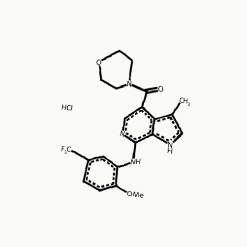 COc1ccc(C(F)(F)F)cc1Nc1ncc(C(=O)N2CCOCC2)c2c(C)c[nH]c12.Cl